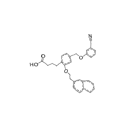 N#Cc1cccc(OCc2ccc(CCCC(=O)O)c(OCCc3ccc4ccccc4c3)c2)c1